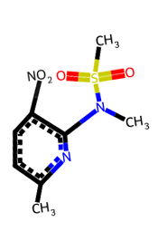 Cc1ccc([N+](=O)[O-])c(N(C)S(C)(=O)=O)n1